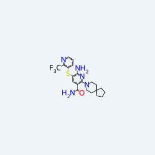 NC(=O)c1cc(Sc2cccnc2C(F)(F)F)c(N)nc1N1CCC2(CCCC2)CC1